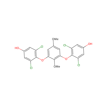 COc1cc(Oc2c(Cl)cc(O)cc2Cl)c(OC)c(Oc2c(Cl)cc(O)cc2Cl)c1